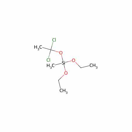 CCO[Si](C)(OCC)OC(C)(Cl)Cl